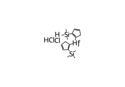 C[Si](C)(C)C1=[C]([Hf][C]2=C([Si](C)(C)C)C=CC2)CC=C1.Cl.Cl